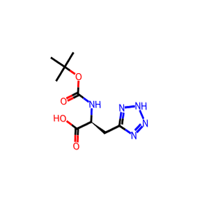 CC(C)(C)OC(=O)N[C@@H](Cc1nn[nH]n1)C(=O)O